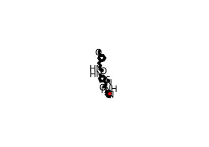 COc1cccc(CCNC(=O)Nc2ccc3c(C(=O)N[C@@H]4CN5CCC4CC5)nsc3c2)c1